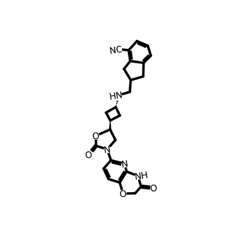 N#Cc1cccc2c1CC(CN[C@H]1C[C@H](C3CN(c4ccc5c(n4)NC(=O)CO5)C(=O)O3)C1)C2